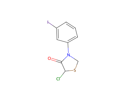 O=C1C(Cl)SCN1c1cccc(I)c1